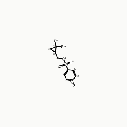 C[PH]1=CC=C(S(=O)(=O)OCC2CC2(F)F)C=C1